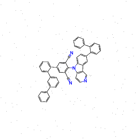 N#Cc1cc(-c2ccccc2-c2cccc(-c3ccccc3)c2)cc(C#N)c1-n1c2ccncc2c2cc(-c3ccccc3-c3ccccc3)ccc21